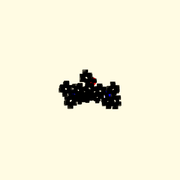 CC1(C)c2cc(N(c3ccccc3)c3ccccc3-c3ccccc3)ccc2-c2c1c1c(c3c2oc2ccccc23)-c2ccc(N(c3ccccc3)c3ccccc3-c3ccccc3)cc2C1(C)C